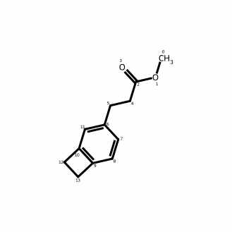 COC(=O)CCc1ccc2c(c1)CC2